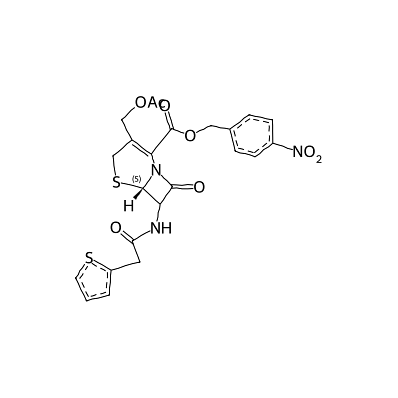 CC(=O)OCC1=C(C(=O)OCc2ccc([N+](=O)[O-])cc2)N2C(=O)C(NC(=O)Cc3cccs3)[C@@H]2SC1